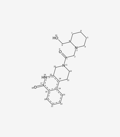 O=C(CN1CCCCC1CO)N1CCc2c([nH]c(=O)c3ccccc23)C1